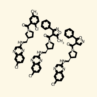 Cc1ccc(Cl)c(C(=O)N2CC[C@@H](CNc3cnc4cc(Cl)ccc4n3)C2)c1.Cc1onc(-c2ccccc2)c1C(=O)N1CC[C@@H](CNc2cnc3cc(Cl)ccc3n2)C1.O=C(c1cnoc1-c1ccccc1)N1CC[C@@H](CNc2cnc3cc(Cl)ccc3n2)C1